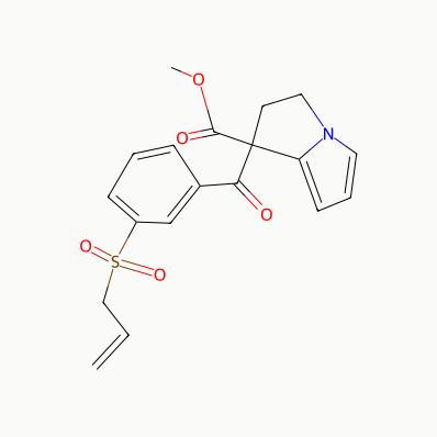 C=CCS(=O)(=O)c1cccc(C(=O)C2(C(=O)OC)CCn3cccc32)c1